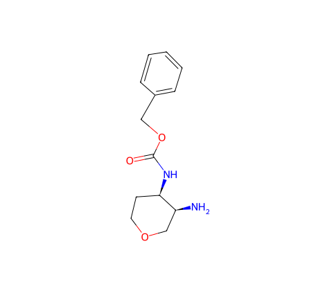 N[C@H]1COCC[C@H]1NC(=O)OCc1ccccc1